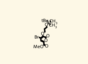 COC(=O)c1cc(Br)c(OCCCO[Si](C)(C)C(C)(C)C)c(=O)o1